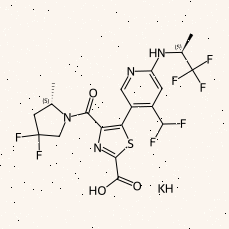 C[C@H](Nc1cc(C(F)F)c(-c2sc(C(=O)O)nc2C(=O)N2CC(F)(F)C[C@@H]2C)cn1)C(F)(F)F.[KH]